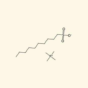 CCCCCCCCCCS(=O)(=O)[O-].C[P+](C)(C)C